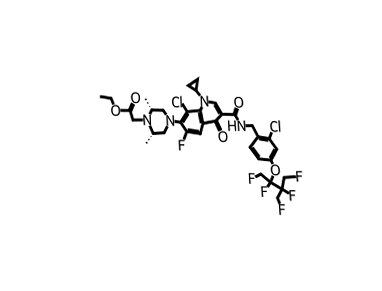 CCOC(=O)CN1[C@H](C)CN(c2c(F)cc3c(=O)c(C(=O)NCc4ccc(OC(F)(CF)C(F)(CF)CF)cc4Cl)cn(C4CC4)c3c2Cl)C[C@@H]1C